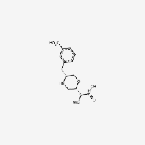 CCCCC([C@@H]1CN[C@H](Cc2cccc(C(=O)O)c2)CO1)[PH](=O)O